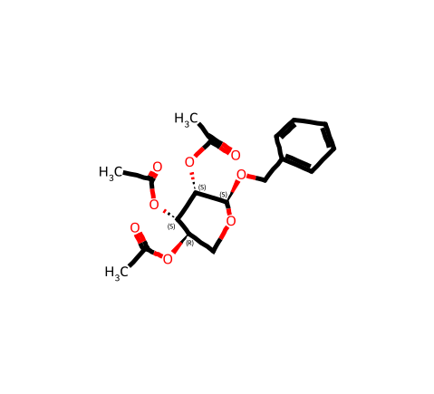 CC(=O)O[C@@H]1[C@@H](OCc2ccccc2)OC[C@@H](OC(C)=O)[C@@H]1OC(C)=O